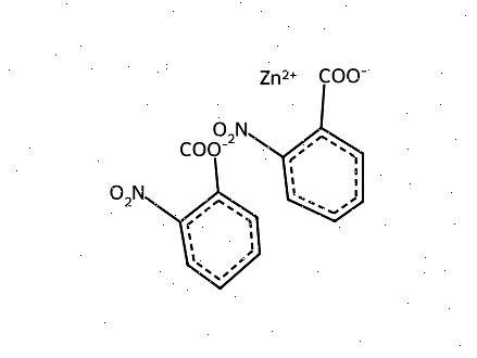 O=C([O-])c1ccccc1[N+](=O)[O-].O=C([O-])c1ccccc1[N+](=O)[O-].[Zn+2]